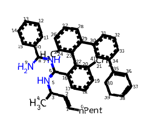 CCCCCC=CC(C)NC(NC(N)c1ccccc1)c1cccc(C)c1-c1c(C)cccc1-c1cccc(C2=CC=CCC2)c1